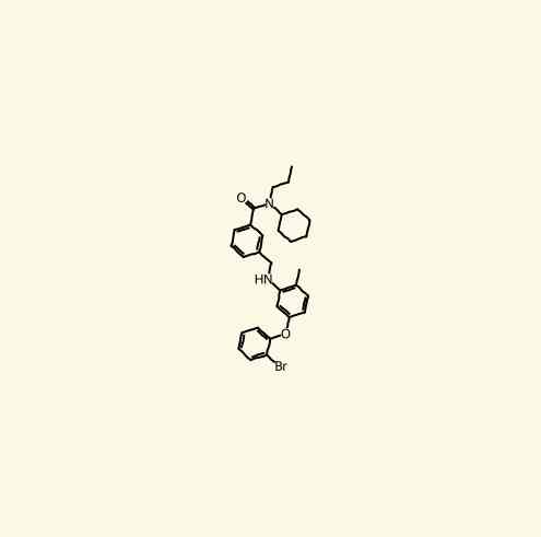 CCCN(C(=O)c1cccc(CNc2cc(Oc3ccccc3Br)ccc2C)c1)C1CCCCC1